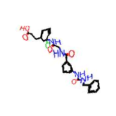 O=C(O)CCC1=CC=CC(Cl)(NC(=O)CNC(=O)c2cccc(NC(=O)NCc3ccccc3)c2)C1